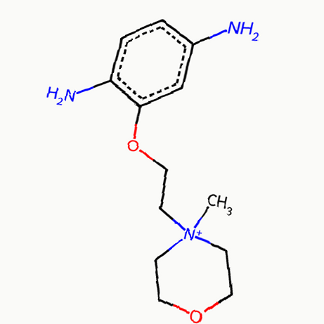 C[N+]1(CCOc2cc(N)ccc2N)CCOCC1